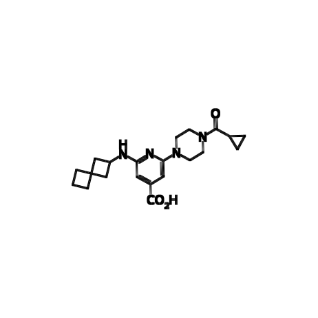 O=C(O)c1cc(NC2CC3(CCC3)C2)nc(N2CCN(C(=O)C3CC3)CC2)c1